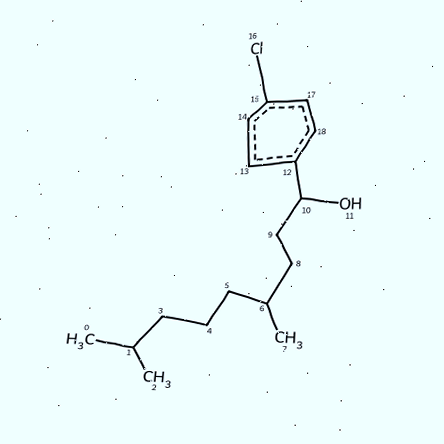 CC(C)CCCC(C)CCC(O)c1ccc(Cl)cc1